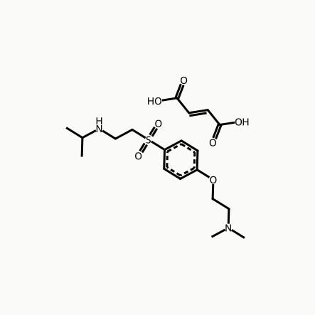 CC(C)NCCS(=O)(=O)c1ccc(OCCN(C)C)cc1.O=C(O)C=CC(=O)O